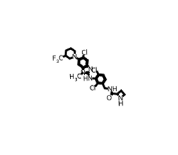 Cn1c(Nc2c(Cl)ccc(CNC(=O)C3CCN3)c2Cl)nc2cc(Cl)c(N3CCCC(C(F)(F)F)C3)cc21